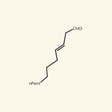 CCCCCCCC/C=C/C[C]=O